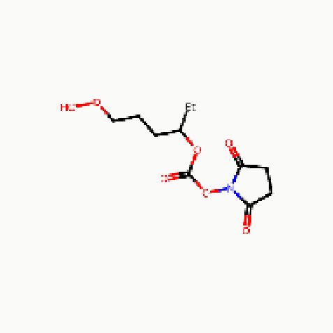 CCC(CCCOO)OC(=O)ON1C(=O)CCC1=O